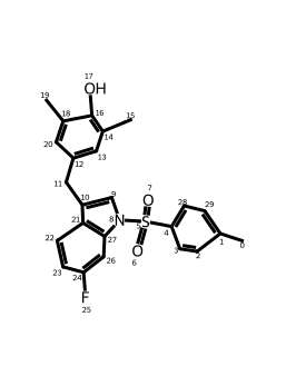 Cc1ccc(S(=O)(=O)n2cc(Cc3cc(C)c(O)c(C)c3)c3ccc(F)cc32)cc1